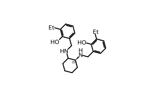 CCc1cccc(CNC2CCCC[C@@H]2NCc2cccc(CC)c2O)c1O